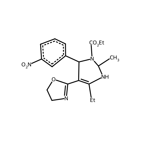 CCOC(=O)N1C(C)NC(CC)=C(C2=NCCO2)C1c1cccc([N+](=O)[O-])c1